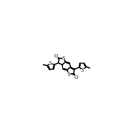 Cc1ccc(C2=C3C=C4SC(=O)C(c5ccc(C)s5)C4C=C3SC2=O)s1